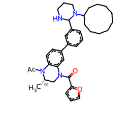 CC(=O)N1c2ccc(-c3cccc(C4NCCCN4C4CCCCCCCCC4)c3)cc2N(C(=O)c2ccco2)C[C@@H]1C